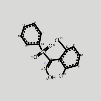 O=S(=O)(/C(=N/O)c1c(Cl)cccc1Cl)c1ccccc1